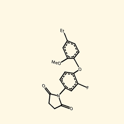 CCc1ccc(Oc2ccc(N3C(=O)CCC3=O)cc2F)c(OC)c1